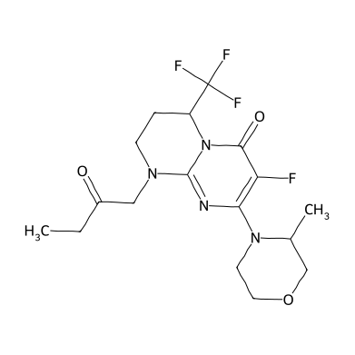 CCC(=O)CN1CCC(C(F)(F)F)n2c1nc(N1CCOCC1C)c(F)c2=O